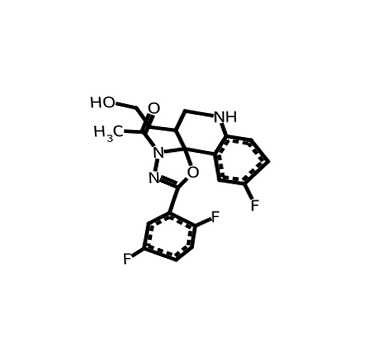 CC(=O)N1N=C(c2cc(F)ccc2F)OC12c1cc(F)ccc1NCC2CCO